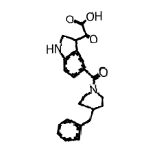 O=C(O)C(=O)C1CNc2ccc(C(=O)N3CCC(Cc4ccccc4)CC3)cc21